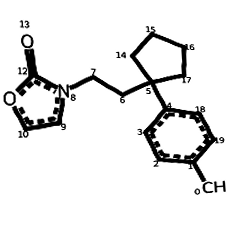 Cc1ccc(C2(CCn3ccoc3=O)CCCC2)cc1